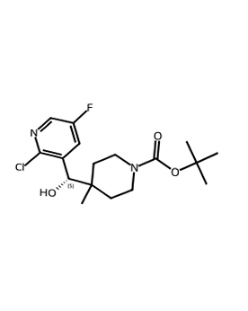 CC(C)(C)OC(=O)N1CCC(C)([C@H](O)c2cc(F)cnc2Cl)CC1